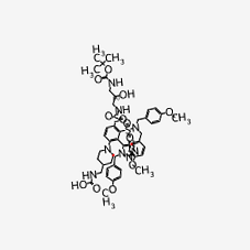 COc1ccc(CN(Cc2ccc(OC)cc2)S(=O)(=O)c2c(S(=O)(=O)NC[C@H](O)CNC(=O)OC(C)(C)C)ccc(N3CCC(CNC(=O)O)CC3)c2-c2nnnn2Cc2ccc(OC)cc2)cc1